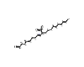 CCCCCCCCCCC(/C=C/CCCCCC[C]=O)[N+](=O)[O-]